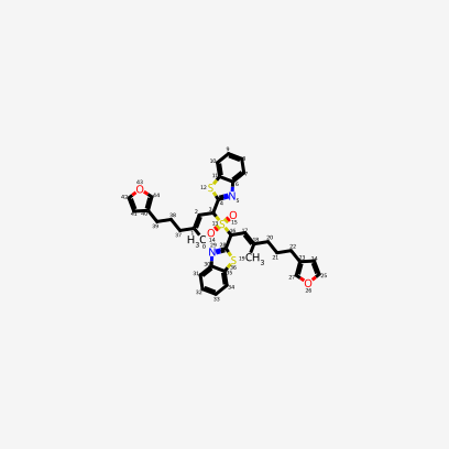 C/C(=C\C(c1nc2ccccc2s1)S(=O)(=O)C(/C=C(\C)CCCc1ccoc1)c1nc2ccccc2s1)CCCc1ccoc1